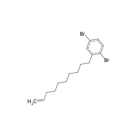 C=CCCCCCCCCc1cc(Br)ccc1Br